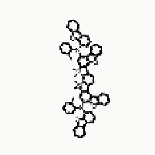 Cc1ccccc1N(c1cccc2c1oc1ccccc12)c1cc2c(c3c1oc1ccccc13)-c1ccc3c(c1[Si]2(C)C)[Si](C)(C)c1cc(N(c2ccccc2C)c2cccc4c2oc2ccccc24)c2c(oc4ccccc42)c1-3